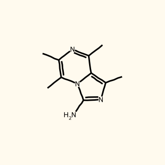 Cc1nc(C)c2c(C)nc(N)n2c1C